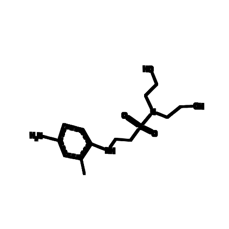 Cc1cc(N)ccc1NCCS(=O)(=O)N(CCO)CCO